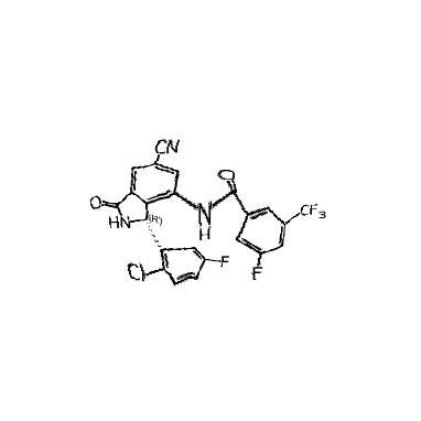 N#Cc1cc(NC(=O)c2cc(F)cc(C(F)(F)F)c2)c2c(c1)C(=O)N[C@H]2c1cc(F)ccc1Cl